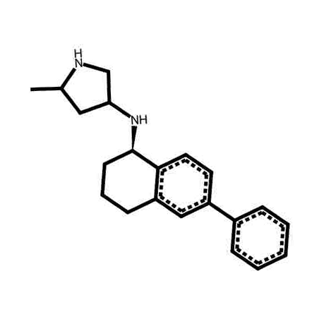 CC1CC(N[C@@H]2CCCc3cc(-c4ccccc4)ccc32)CN1